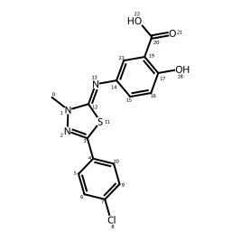 Cn1nc(-c2ccc(Cl)cc2)sc1=Nc1ccc(O)c(C(=O)O)c1